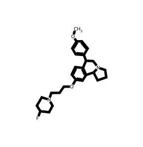 COc1ccc(C2CN3CCCC3c3cc(OCCCN4CCC(F)CC4)ccc32)cc1